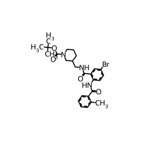 Cc1ccccc1C(=O)Nc1ccc(Br)cc1C(=O)NCC1CCCN(C(=O)OC(C)(C)C)C1